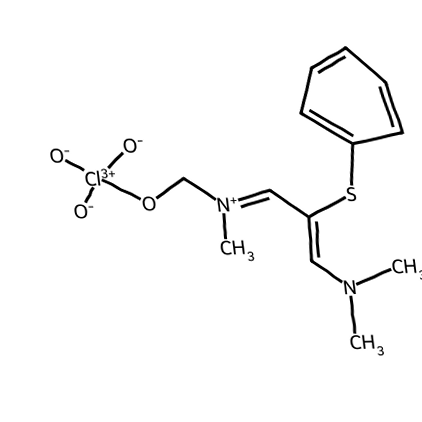 CN(C)C=C(C=[N+](C)CO[Cl+3]([O-])([O-])[O-])Sc1ccccc1